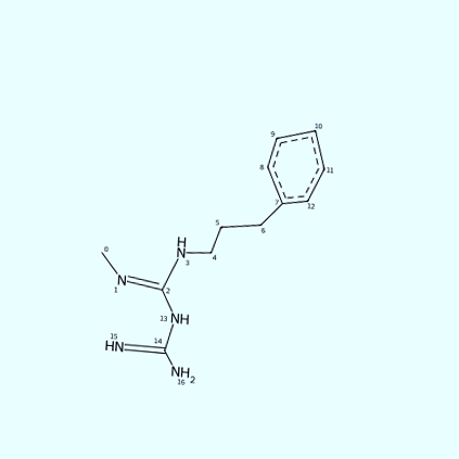 C/N=C(\NCCCc1ccccc1)NC(=N)N